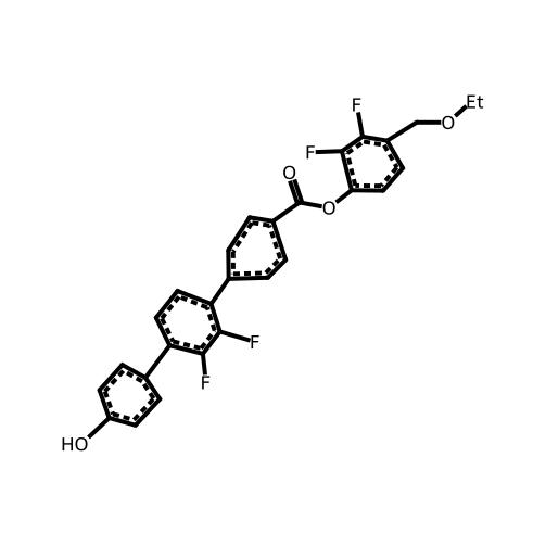 CCOCc1ccc(OC(=O)c2ccc(-c3ccc(-c4ccc(O)cc4)c(F)c3F)cc2)c(F)c1F